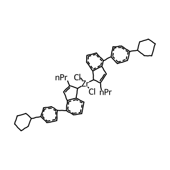 CCCC1=Cc2c(-c3ccc(C4CCCCC4)cc3)cccc2[CH]1[Zr]([Cl])([Cl])[CH]1C(CCC)=Cc2c(-c3ccc(C4CCCCC4)cc3)cccc21